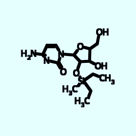 CC[Si](C)(CC)OC1C(O)C(CO)OC1n1ccc(N)nc1=O